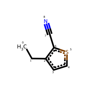 CCc1ccsc1C#N